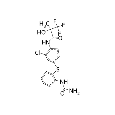 C[C@@](O)(C(=O)Nc1ccc(Sc2ccccc2NC(N)=O)cc1Cl)C(F)(F)F